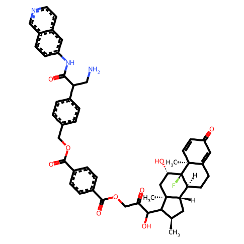 C[C@@H]1C[C@H]2[C@@H]3CCC4=CC(=O)C=C[C@]4(C)[C@@]3(F)[C@@H](O)C[C@]2(C)C1C(O)C(=O)COC(=O)c1ccc(C(=O)OCc2ccc(C(CN)C(=O)Nc3ccc4cnccc4c3)cc2)cc1